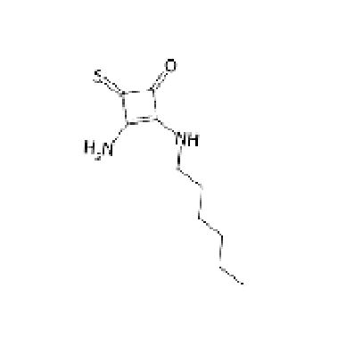 CCCCCCNc1c(N)c(=S)c1=O